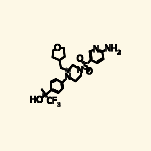 C[C@](O)(c1ccc(N2CCN(S(=O)(=O)c3ccc(N)nc3)C[C@@H]2CC2CCOCC2)cc1)C(F)(F)F